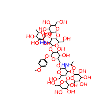 COc1ccc(O[C@H]2OC(CO[C@@H]3OC(CO)[C@@H](O[C@@H]4OC(CO)[C@H](O)C(O)[C@@H]4O)C(O[C@@H]4OC(C)[C@@H](O)C(O)[C@@H]4O)[C@@H]3NC(C)=O)[C@@H](O)C(O)[C@H]2O[C@@H]2OC(CO)[C@@H](O[C@@H]3OC(CO)[C@H](O)C(O)[C@@H]3O)C(O[C@@H]3OC(C)[C@@H](O)C(O)[C@@H]3O)[C@@H]2NC(C)=O)cc1